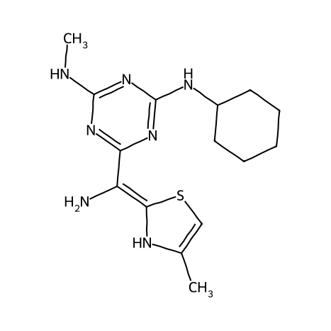 CNc1nc(NC2CCCCC2)nc(/C(N)=C2/NC(C)=CS2)n1